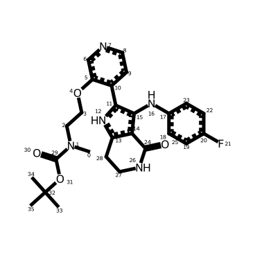 CN(CCOc1cnccc1-c1[nH]c2c(c1Nc1ccc(F)cc1)C(=O)NCC2)C(=O)OC(C)(C)C